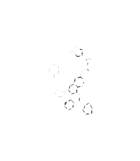 Cn1cc([C@H]2C[C@@H]2C(=O)Nc2cc3cc(N4C(O)OC[C@@H]4COC4CCCCO4)cc(N=C(c4ccccc4)c4ccccc4)c3nn2)cn1